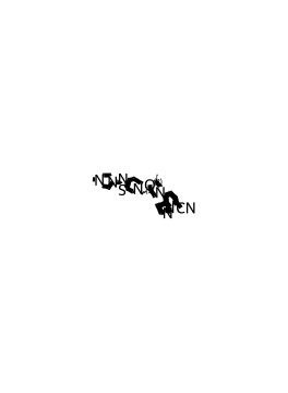 C[C@@H]1CN(c2ccc(C#N)n3nccc23)C[C@H](CN2CCc3nc(N4CCN(C)CC4)sc3C2)O1